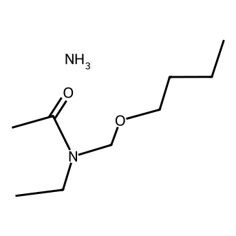 CCCCOCN(CC)C(C)=O.N